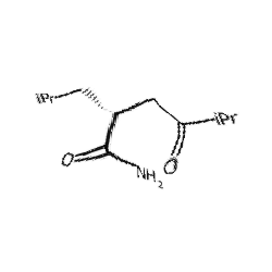 CC(C)C[C@H](CC(=O)C(C)C)C(N)=O